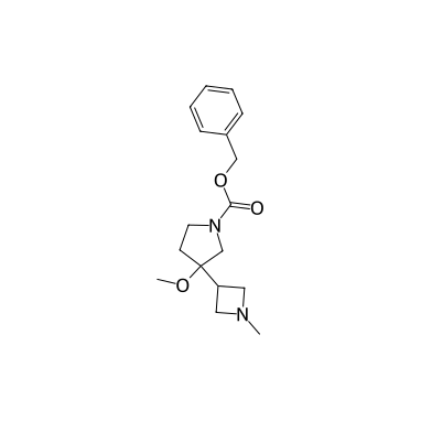 COC1(C2CN(C)C2)CCN(C(=O)OCc2ccccc2)C1